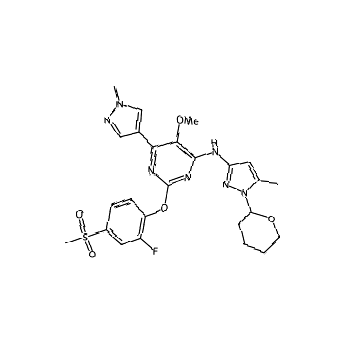 COc1c(Nc2cc(C)n(C3CCCCO3)n2)nc(Oc2ccc(S(C)(=O)=O)cc2F)nc1-c1cnn(C)c1